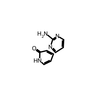 Nc1ncccn1.O=c1cccc[nH]1